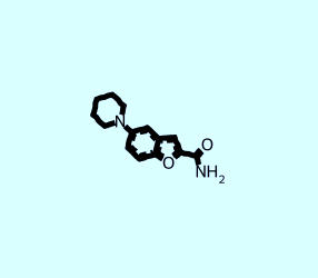 NC(=O)c1cc2cc(N3CCCCC3)ccc2o1